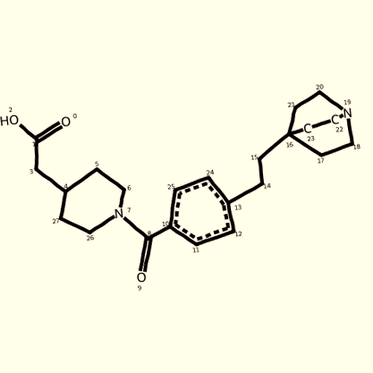 O=C(O)CC1CCN(C(=O)c2ccc(CCC34CCN(CC3)CC4)cc2)CC1